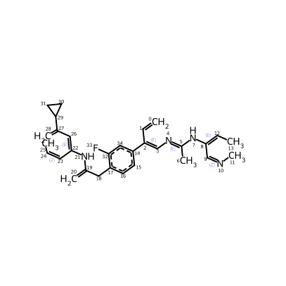 C=C/C(=C\N=C(/C)NC(/C=N\C)=C/C)c1ccc(CC(=C)NC(/C=C\C)=C/C(=C)C2CC2)c(F)c1